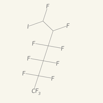 FC(I)C(F)C(F)(F)C(F)(F)C(F)(F)C(F)(F)F